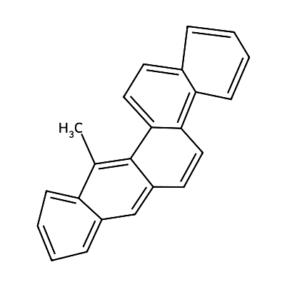 Cc1c2ccccc2cc2ccc3c4ccccc4ccc3c12